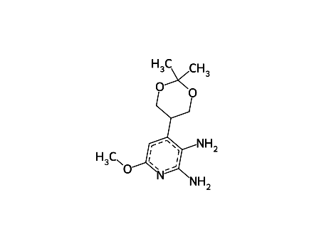 COc1cc(C2COC(C)(C)OC2)c(N)c(N)n1